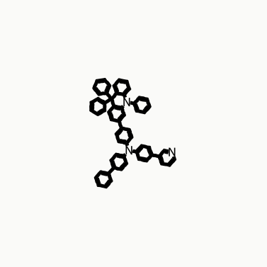 c1ccc(-c2ccc(N(c3ccc(-c4cccnc4)cc3)c3ccc(-c4ccc5c(c4)N(c4ccccc4)c4ccccc4C5(c4ccccc4)c4ccccc4)cc3)cc2)cc1